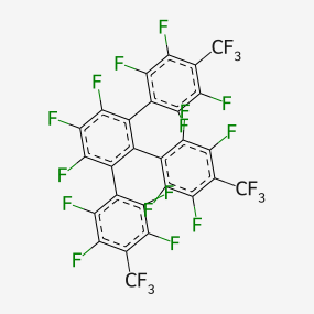 Fc1c(F)c(-c2c(F)c(F)c(C(F)(F)F)c(F)c2F)c(-c2c(F)c(F)c(C(F)(F)F)c(F)c2F)c(-c2c(F)c(F)c(C(F)(F)F)c(F)c2F)c1F